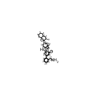 C[C@H](CC1CCCCC1)C(=O)N1CCC(O)(Cn2cnc(-c3ccccc3CN)cc2=O)C(C)(C)C1